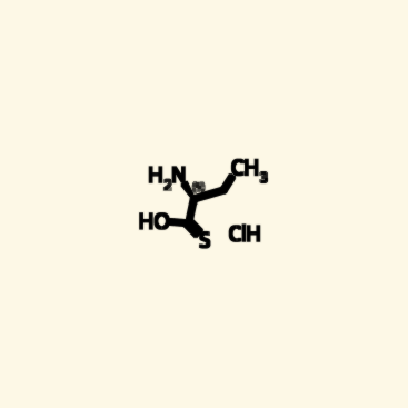 CC[C@H](N)C(O)=S.Cl